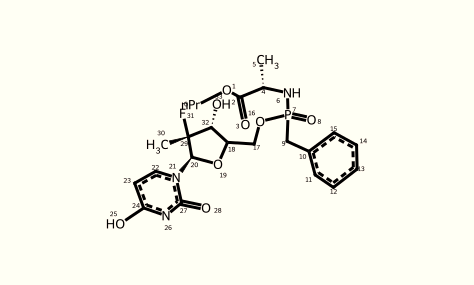 CCCOC(=O)[C@H](C)NP(=O)(Cc1ccccc1)OCC1O[C@@H](n2ccc(O)nc2=O)[C@](C)(F)[C@@H]1O